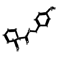 CC(C)(C)c1ccc(COC(=O)n2ccccc2=O)cc1